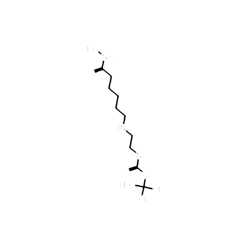 CNC(=O)CCCCCNCCNC(=O)OC(C)(C)C